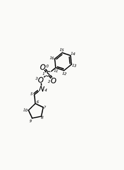 O=S(=O)(ON=CC1CCCC1)c1ccccc1